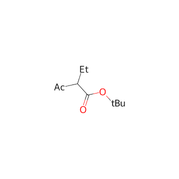 CCC(C(C)=O)C(=O)OC(C)(C)C